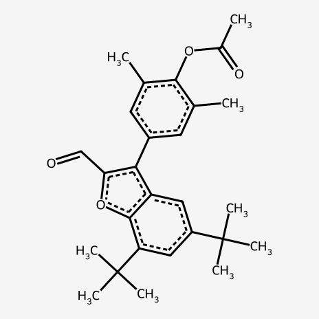 CC(=O)Oc1c(C)cc(-c2c(C=O)oc3c(C(C)(C)C)cc(C(C)(C)C)cc23)cc1C